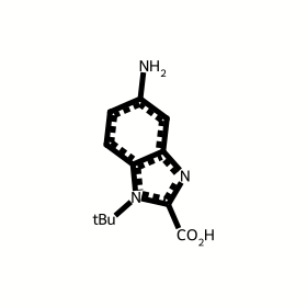 CC(C)(C)n1c(C(=O)O)nc2cc(N)ccc21